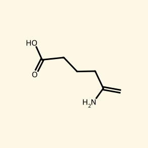 C=C(N)CCCC(=O)O